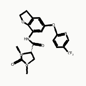 CN1C[C@@H](C(=O)Nc2cc(Oc3ccc(C(F)(F)F)cn3)cc3c2OCC3)N(C)C1=O